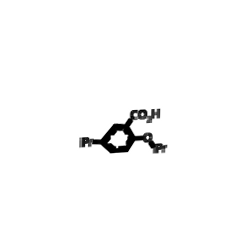 CC(C)Oc1ccc(C(C)C)cc1C(=O)O